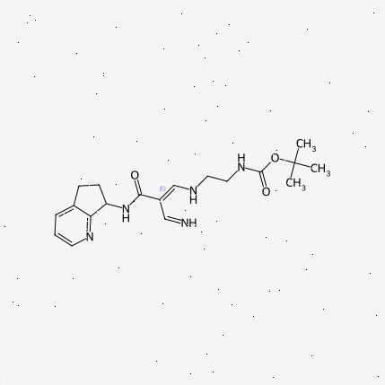 CC(C)(C)OC(=O)NCCN/C=C(\C=N)C(=O)NC1CCc2cccnc21